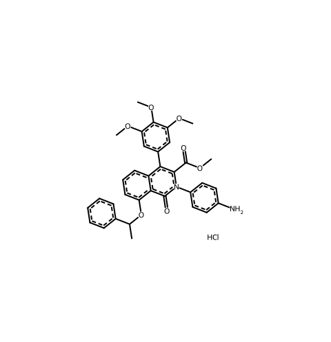 COC(=O)c1c(-c2cc(OC)c(OC)c(OC)c2)c2cccc(OC(C)c3ccccc3)c2c(=O)n1-c1ccc(N)cc1.Cl